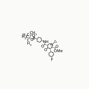 COC(=O)c1c(-c2ccc(F)cc2)c(=O)c(C(=O)Nc2ccc(B3OC(C)(C)C(C)(C)O3)cc2)cn1C1CC1